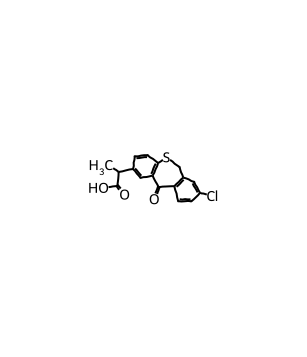 CC(C(=O)O)c1ccc2c(c1)C(=O)c1ccc(Cl)cc1CS2